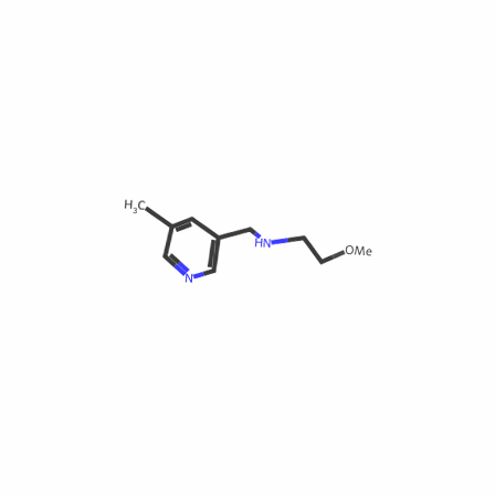 COCCNCc1cncc(C)c1